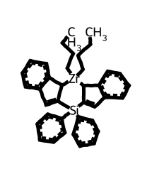 CCC[CH2][Zr]1([CH2]CCC)[CH]2C(=Cc3ccccc32)[Si](c2ccccc2)(c2ccccc2)C2=Cc3ccccc3[CH]21